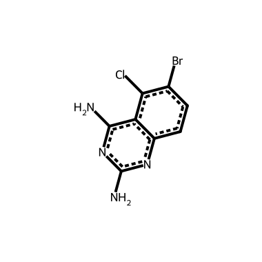 Nc1nc(N)c2c(Cl)c(Br)ccc2n1